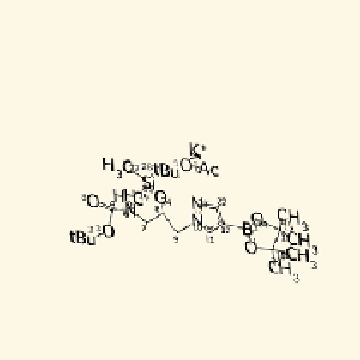 CC(=O)[O-].CC(C)(C)OC(=O)NCC(Cn1cc(B2OC(C)(C)C(C)(C)O2)cn1)O[Si](C)(C)C(C)(C)C.[K+]